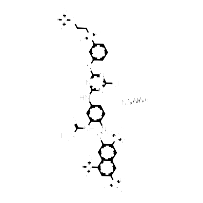 NC(=O)Nc1cc(Nc2nc(Cl)nc(Nc3cccc(S(=O)(=O)CCOS(=O)(=O)[O-])c3)n2)ccc1N=Nc1cc2c(S(=O)(=O)[O-])cc(S(=O)(=O)[O-])cc2cc1S(=O)(=O)[O-].[Na+].[Na+].[Na+].[Na+]